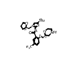 CC(C)(C)c1cn(C[C@H]2CCCO2)c(=NC(=O)c2cc(C(F)(F)F)ccc2OC[C@@H]2CNCCO2)s1